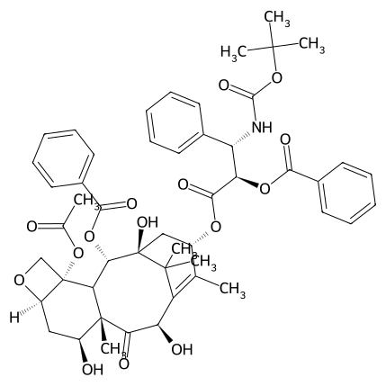 CC(=O)O[C@@]12CO[C@@H]1C[C@H](O)[C@@]1(C)C(=O)[C@H](O)C3=C(C)[C@@H](OC(=O)[C@H](OC(=O)c4ccccc4)[C@@H](NC(=O)OC(C)(C)C)c4ccccc4)C[C@@](O)([C@@H](OC(=O)c4ccccc4)C12)C3(C)C